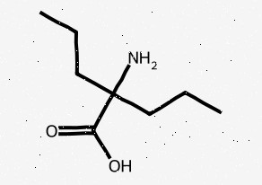 CCCC(N)(CCC)C(=O)O